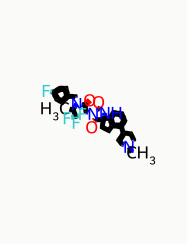 CC(N(Cc1ccc(F)cc1)C(=O)CN1C(=O)NC2(CCc3c(C4=CCN(C)CC4)cccc32)C1=O)C(F)(F)F